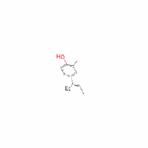 CC=C(CC)c1ccc(O)c(C)c1